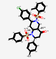 CCc1ccc([C@@H]2CC(=O)[C@@H]3CN(S(=O)(=O)c4ccccc4C)C(c4ccc(Cl)cc4)C[C@@H]3N2S(=O)(=O)c2ccc(C)cc2)cc1